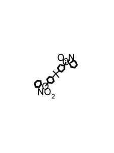 CC(C)(c1ccc(Oc2ccccc2[N+](=O)[O-])cc1)c1ccc(Oc2ccccc2[N+](=O)[O-])cc1